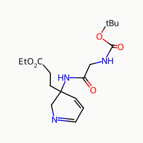 CCOC(=O)CCC1(NC(=O)CNC(=O)OC(C)(C)C)C=CC=NC1